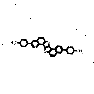 CC1CCC(c2ccc3c(c#cc4sc5c(sc6ccc7cc(C8CCC(C)CC8)ccc7c65)c43)c2)CC1